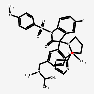 COc1ccc(S(=O)(=O)N2C(=O)C(c3cc(CN(C)C(C)C)ccc3OC)(N3CCC[C@H]3c3ncco3)c3cc(Cl)ccc32)cc1